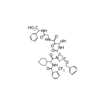 CCCC(NC(=O)[C@@H]1C[C@@H](OCc2ccccc2)CN1C(=O)C(NC(=O)c1ccccc1C(F)(F)F)C1CCCCC1)C(=O)C(=O)NCC(=O)NC(C(=O)O)c1ccccc1